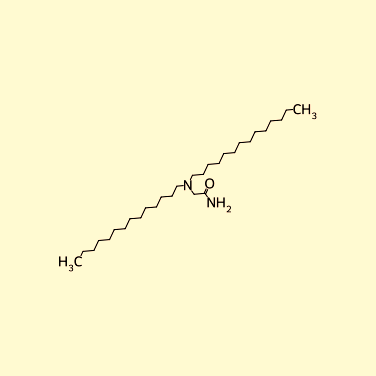 CCCCCCCCCCCCCCN(CCCCCCCCCCCCCC)CC(N)=O